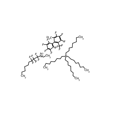 CCCCCCC(F)(F)C(F)(F)C(F)(F)[NH2+]CC.CCCCCCCC[B-](CCCCCCCC)(CCCCCCCC)CCCCCCCC.Cc1c(F)c(F)c(F)c(C(F)(F)F)c1-c1c(F)c(F)c(F)c(F)c1F